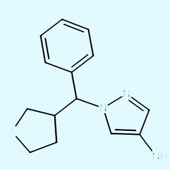 Nc1cnn(C(c2ccccc2)C2CCSC2)c1